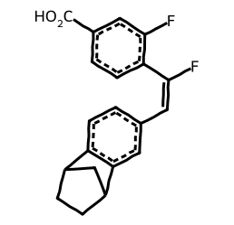 O=C(O)c1ccc(/C(F)=C\c2ccc3c(c2)C2CCC3C2)c(F)c1